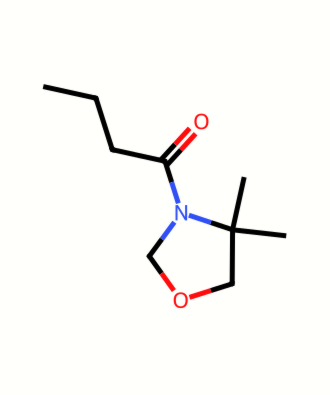 CCCC(=O)N1COCC1(C)C